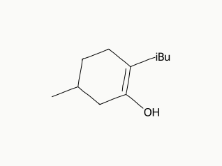 CCC(C)C1=C(O)CC(C)CC1